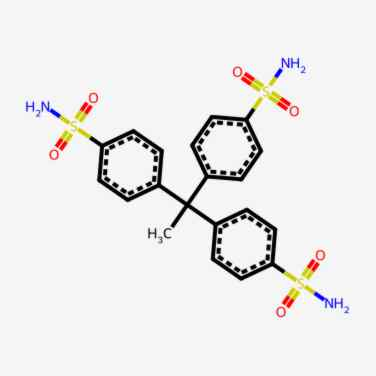 CC(c1ccc(S(N)(=O)=O)cc1)(c1ccc(S(N)(=O)=O)cc1)c1ccc(S(N)(=O)=O)cc1